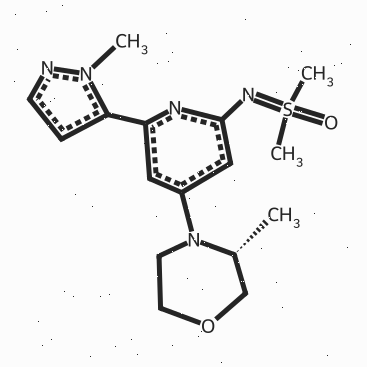 C[C@@H]1COCCN1c1cc(N=S(C)(C)=O)nc(-c2ccnn2C)c1